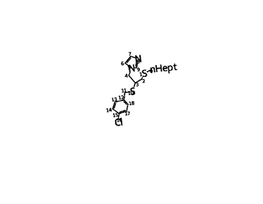 CCCCCCCSCC(Cn1ccnc1)SCc1ccc(Cl)cc1